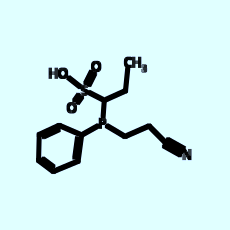 CCC(P(CCC#N)c1ccccc1)S(=O)(=O)O